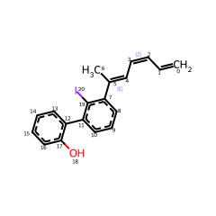 C=C/C=C\C=C(/C)c1cccc(-c2ccccc2O)c1I